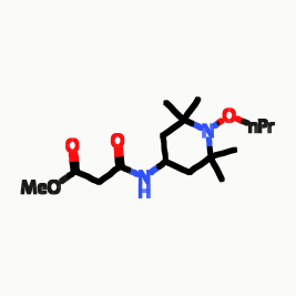 CCCON1C(C)(C)CC(NC(=O)CC(=O)OC)CC1(C)C